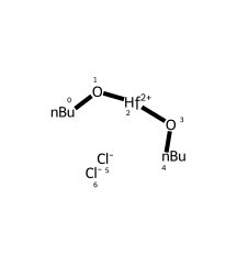 CCCC[O][Hf+2][O]CCCC.[Cl-].[Cl-]